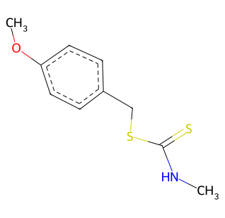 CNC(=S)SCc1ccc(OC)cc1